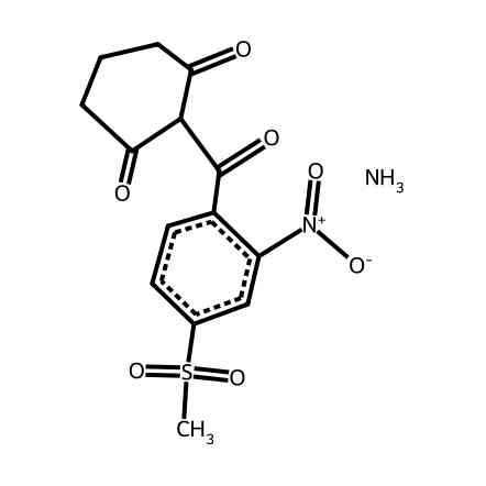 CS(=O)(=O)c1ccc(C(=O)C2C(=O)CCCC2=O)c([N+](=O)[O-])c1.N